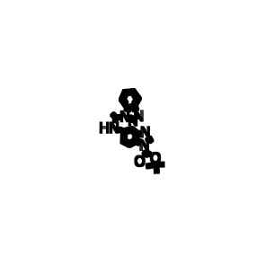 CC(Nc1ccc2c(c1)ncn2C(=O)OC(C)(C)C)n1nnc2ccccc21